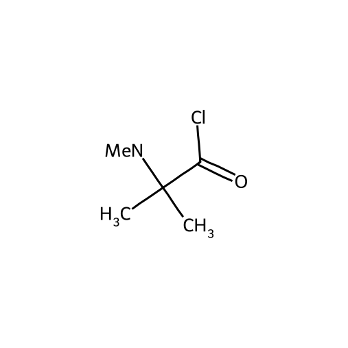 CNC(C)(C)C(=O)Cl